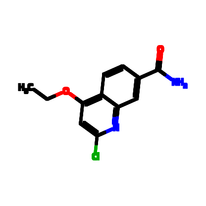 CCOc1cc(Cl)nc2cc(C(N)=O)ccc12